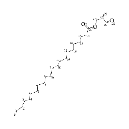 CCCCCCCCCCCCCCCCCCCCCC(=O)OCC(C)[C]=O